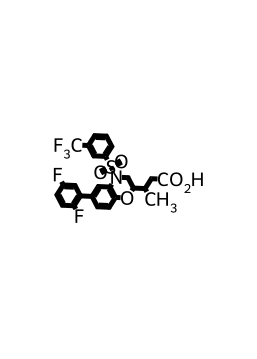 CC(CC(=O)O)C1CN(S(=O)(=O)c2cccc(C(F)(F)F)c2)c2cc(-c3cc(F)ccc3F)ccc2O1